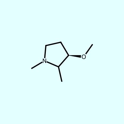 CO[C@@H]1CCN(C)C1C